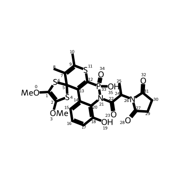 COC1=C(OC)SC2(S1)C(C)=C(C)SC1=C2c2cccc(O)c2N(C(=O)C(C)N2C(=O)CCC2=O)P1(=O)O